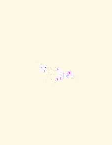 Cc1noc(CNC(=O)c2cc(-c3ccc(F)cn3)cc(C(O)C(F)(F)F)c2)n1